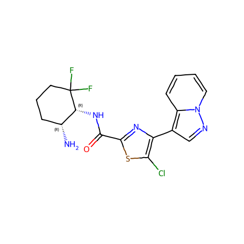 N[C@@H]1CCCC(F)(F)[C@@H]1NC(=O)c1nc(-c2cnn3ccccc23)c(Cl)s1